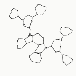 C1=C(C2CCCCC2)CC(C2CCCCC2)CC1N1C2CCCCC2C2C3C4CCCCC4N(C4CC(C5CCCCC5)CC(C5CCCCC5)C4)C3CCC21